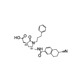 N#CC1CCc2cc(C(=O)NC[C@@H]3C[C@@H](CC(=O)O)C(=O)N3CCCc3ccccc3)ccc2C1